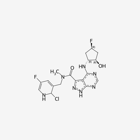 CN(CC1=CC(F)=CNC1Cl)C(=O)c1n[nH]c2ncnc(N[C@@H]3C[C@@H](F)C[C@H]3O)c12